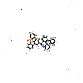 O=P(c1ccccc1)(c1ccccc1)c1ccc(-c2nc3ccccc3c3c(-c4ccccc4)cccc23)cc1